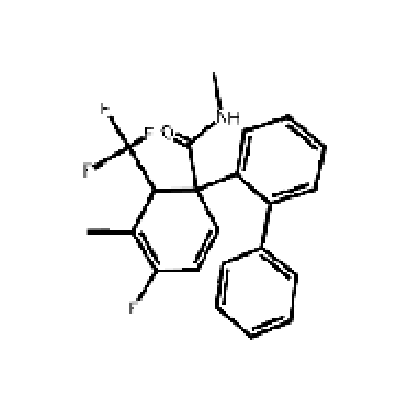 CNC(=O)C1(c2ccccc2-c2ccccc2)C=CC(F)=C(C)C1C(F)(F)F